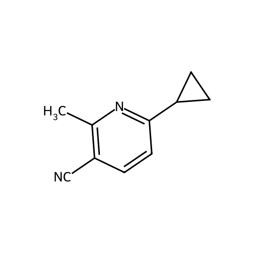 Cc1nc(C2CC2)ccc1C#N